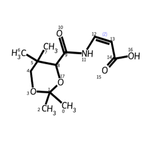 CC1(C)OCC(C)(C)C(C(=O)N/C=C\C(=O)O)O1